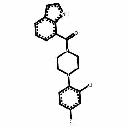 O=C(c1cccc2cc[nH]c12)N1CCN(c2ccc(Cl)cc2Cl)CC1